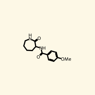 COc1ccc(C(=O)NC2CCCCNC2=O)cc1